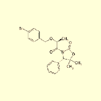 C[C@H](OCc1ccc(Br)cc1)C(=O)N1C(=O)OC(C)(C)[C@@H]1c1ccccc1